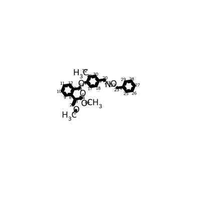 COC=C(C(=O)OC)c1ccccc1COc1ccc(C=NOCc2ccccc2)cc1C